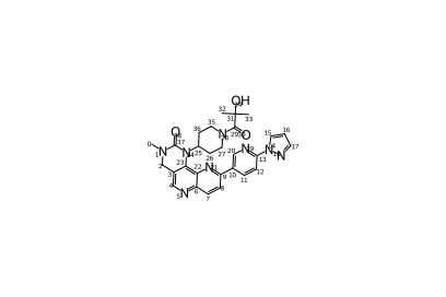 CN1Cc2cnc3ccc(-c4ccc(-n5cccn5)nc4)nc3c2N(C2CCN(C(=O)C(C)(C)O)CC2)C1=O